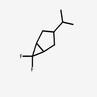 CC(C)C1CC2C(C1)C2(F)F